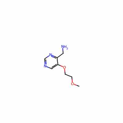 COCCOc1cncnc1CN